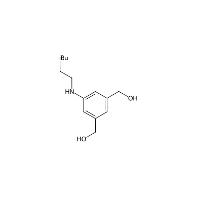 CCC(C)CCNc1cc(CO)cc(CO)c1